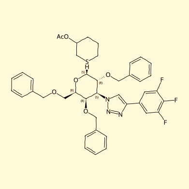 CC(=O)OC1CCC[SH]([C@@H]2O[C@H](COCc3ccccc3)[C@H](OCc3ccccc3)[C@H](n3cc(-c4cc(F)c(F)c(F)c4)nn3)[C@H]2OCc2ccccc2)C1